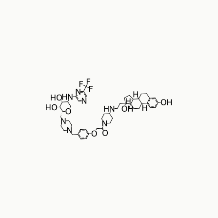 C[C@]12CC[C@@H]3c4ccc(O)cc4CC[C@H]3[C@@H]1CC[C@@]2(O)CCNC1CCN(C(=O)COc2ccc(CN3CCN(C[C@H]4OC[C@H](Nc5cncc(C(F)(F)F)n5)[C@@H](O)[C@H]4O)CC3)cc2)CC1